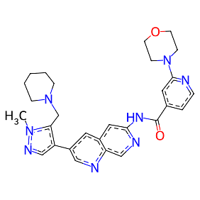 Cn1ncc(-c2cnc3cnc(NC(=O)c4ccnc(N5CCOCC5)c4)cc3c2)c1CN1CCCCC1